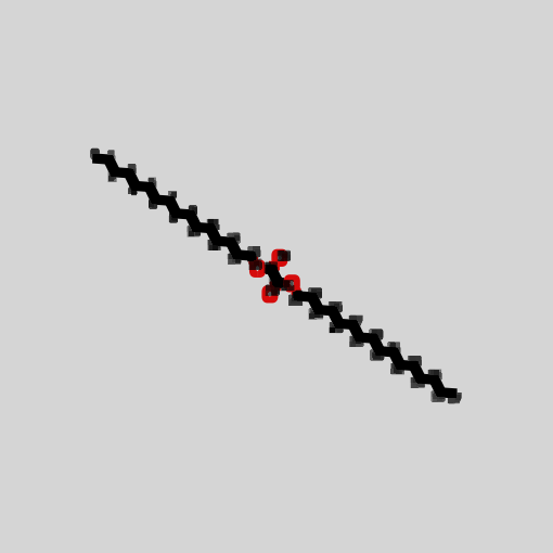 CCCCCCCCCCCCCCCCOC(=O)C(=O)OCCCCCCCCCCCCCCCC